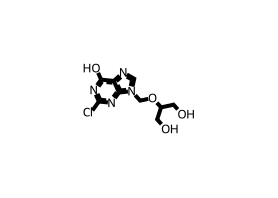 OCC(CO)OCn1cnc2c(O)nc(Cl)nc21